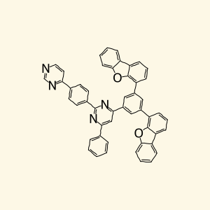 c1ccc(-c2cc(-c3cc(-c4cccc5c4oc4ccccc45)cc(-c4cccc5c4oc4ccccc45)c3)nc(-c3ccc(-c4ccncn4)cc3)n2)cc1